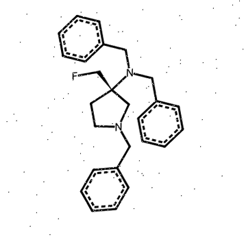 FC[C@]1(N(Cc2ccccc2)Cc2ccccc2)CCN(Cc2ccccc2)C1